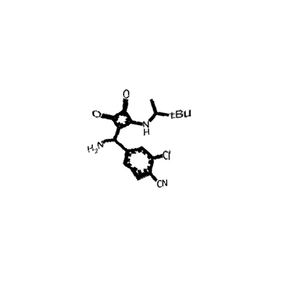 CC(Nc1c(C(N)c2ccc(C#N)c(Cl)c2)c(=O)c1=O)C(C)(C)C